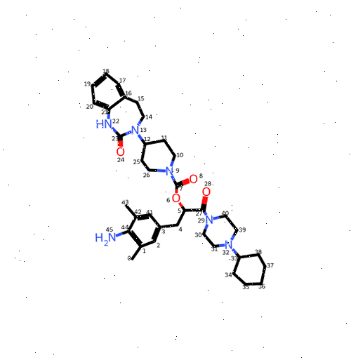 Cc1cc(CC(OC(=O)N2CCC(N3CCc4ccccc4NC3=O)CC2)C(=O)N2CCN(C3CCCCC3)CC2)cc(C)c1N